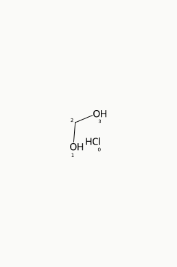 Cl.OCO